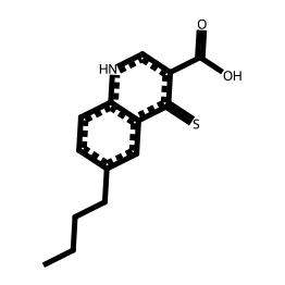 CCCCc1ccc2[nH]cc(C(=O)O)c(=S)c2c1